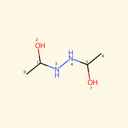 CC(O)NNC(C)O